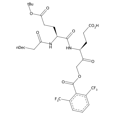 CCCCCCCCCCCC(=O)N[C@@H](CCC(=O)OC(C)(C)C)C(=O)N[C@@H](CCC(=O)O)C(=O)COC(=O)c1c(C(F)(F)F)cccc1C(F)(F)F